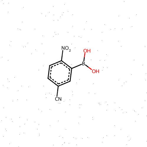 N#Cc1ccc([N+](=O)[O-])c(B(O)O)c1